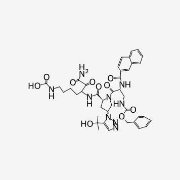 CC(C)(O)c1cnnn1[C@H]1C[C@@H](C(=O)NC(CCCCNC(=O)O)C(=O)C(N)=O)N(C(=O)C(CNC(=O)OCc2ccccc2)NC(=O)c2ccc3ccccc3c2)C1